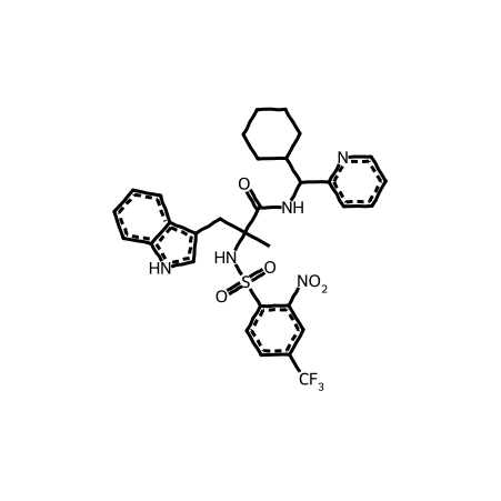 CC(Cc1c[nH]c2ccccc12)(NS(=O)(=O)c1ccc(C(F)(F)F)cc1[N+](=O)[O-])C(=O)NC(c1ccccn1)C1CCCCC1